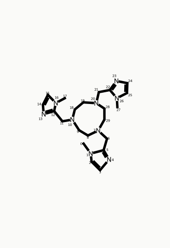 Cn1ccnc1CN1CCN(Cc2nccn2C)CCN(Cc2nccn2C)CC1